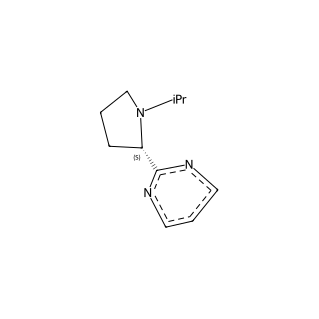 CC(C)N1CCC[C@H]1c1ncccn1